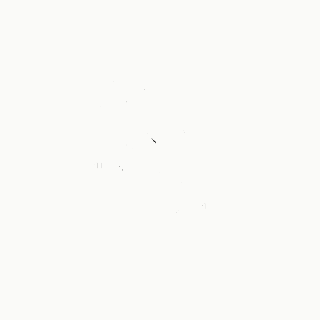 [2H]C1=C(C(=O)OCC([2H])([2H])[2H])[C@]([2H])(S(=O)(=O)N([2H])c2c([2H])c([2H])c(F)c([2H])c2Cl)C([2H])([2H])C([2H])([2H])C1([2H])[2H]